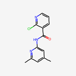 Cc1cc(C)nc(NC(=O)c2cccnc2Cl)c1